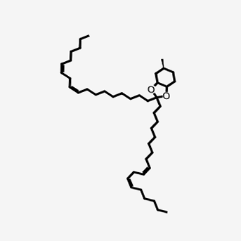 CCCCC/C=C\C/C=C\CCCCCCCCC1(CCCCCCCC/C=C\C/C=C\CCCCC)OC2CC[C@H](C)CC2O1